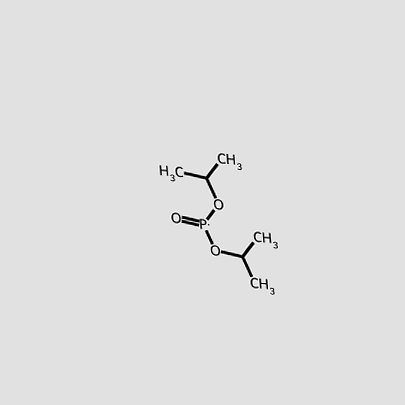 CC(C)O[P](=O)OC(C)C